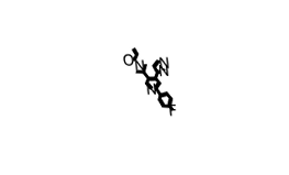 C=CC(=O)N1CC(c2cnc(-c3ccc(F)cc3)cc2-c2ccn(C)n2)C1